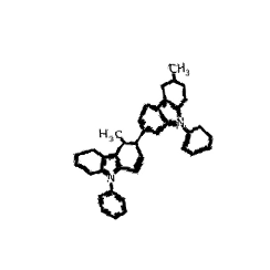 CC1CCc2c(c3ccc(C4C=Cc5c(c6c(n5-c5ccccc5)C=CCC6)C4C)cc3n2C2=CC=CCC2)C1